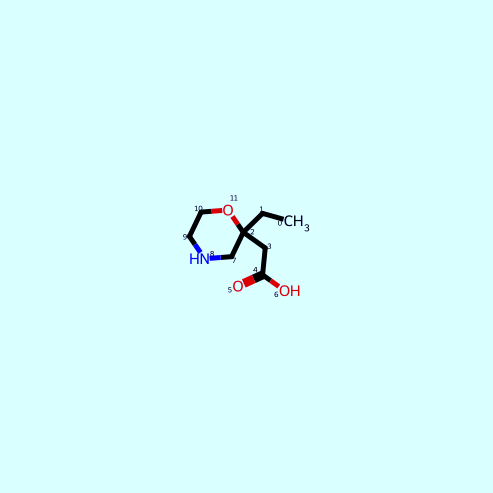 CCC1(CC(=O)O)CNCCO1